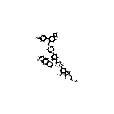 COCCn1nc2cc(S(=O)(=O)NC(=O)c3ccc(N4CCN(CC5=C(c6ccc(Cl)cc6)CC6(CCC6)CC5)CC4)cc3N3CCOc4nc5[nH]ccc5cc43)cc([N+](=O)[O-])c2c1F